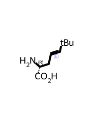 CC(C)(C)/C=C/C[C@@H](N)C(=O)O